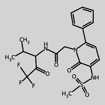 CC(C)C(NC(=O)Cn1c(-c2ccccc2)ccc(NS(C)(=O)=O)c1=O)C(=O)C(F)(F)F